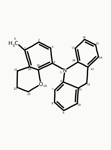 Cc1ccc(N2c3ccccc3Cc3ccccc32)c2c1CCCO2